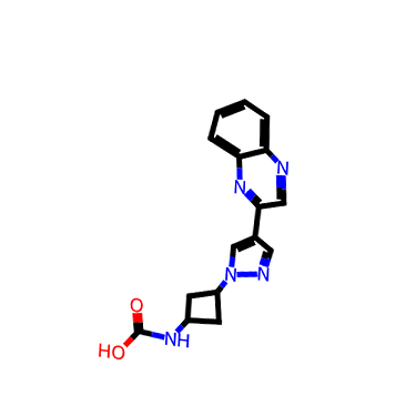 O=C(O)NC1CC(n2cc(-c3cnc4ccccc4n3)cn2)C1